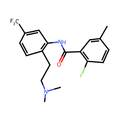 Cc1ccc(F)c(C(=O)Nc2cc(C(F)(F)F)ccc2CCN(C)C)c1